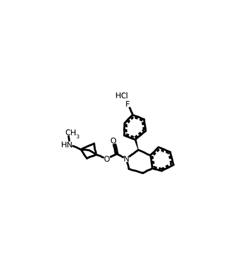 CNC12CC(OC(=O)N3CCc4ccccc4[C@@H]3c3ccc(F)cc3)(C1)C2.Cl